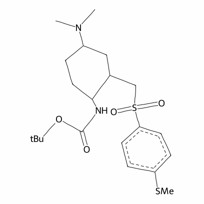 CSc1ccc(S(=O)(=O)CC2CC(N(C)C)CCC2NC(=O)OC(C)(C)C)cc1